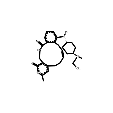 CCN(c1cccc2c1CC=CCCc1cc(C)[nH]c(=O)c1CNC2=O)[C@H]1CC[C@H](N(C)CC(F)(F)F)CC1